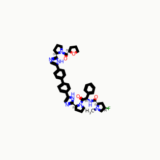 CN1C[C@H](F)C[C@H]1C(=O)N[C@@H](C(=O)N1CCC[C@H]1c1ncc(-c2ccc(-c3ccc(-c4cnc([C@@H]5CCCN5C(=O)[C@@H]5CCCO5)[nH]4)cc3)cc2)[nH]1)c1ccccc1